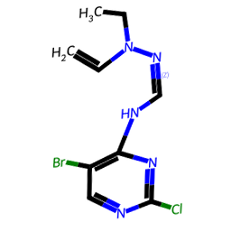 C=CN(CC)/N=C\Nc1nc(Cl)ncc1Br